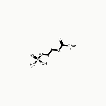 COC(=O)OCCOP(=O)(O)O